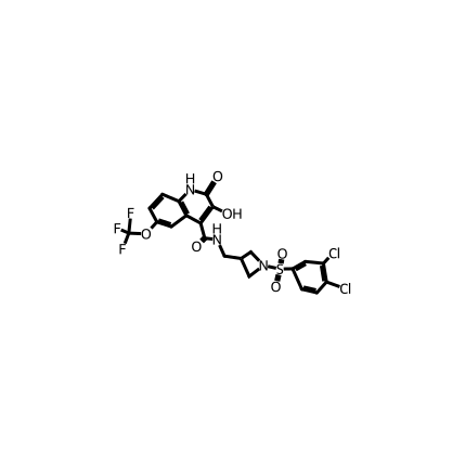 O=C(NCC1CN(S(=O)(=O)c2ccc(Cl)c(Cl)c2)C1)c1c(O)c(=O)[nH]c2ccc(OC(F)(F)F)cc12